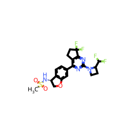 CS(=O)(=O)N[C@H]1COc2cc(-c3nc(N4CCC4C(F)F)nc4c3CCC4(F)F)ccc21